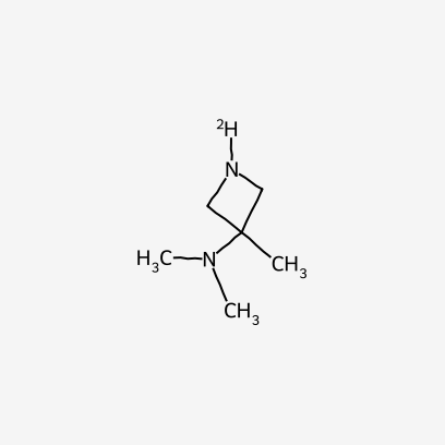 [2H]N1CC(C)(N(C)C)C1